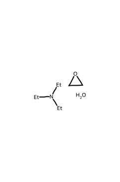 C1CO1.CCN(CC)CC.O